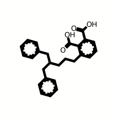 O=C(O)c1cccc(CCCC(Cc2ccccc2)Cc2ccccc2)c1C(=O)O